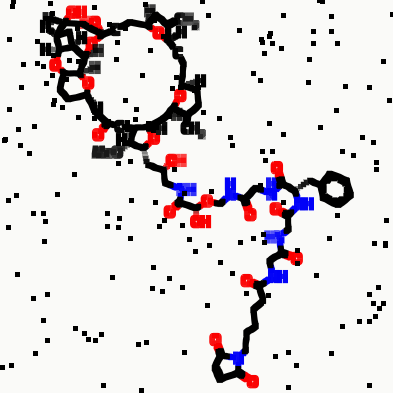 C=C1C[C@@H]2CC[C@@]3(O)C[C@@H](O)[C@@H]4C[C@@H]5[C@H]4OC4CC[C@H](CC(=O)C[C@@H]6[C@@H](OC)[C@@H](C[C@H](O)CNC(=O)[C@@H](O)OCNC(=O)CNC(=O)[C@H](Cc7ccccc7)NC(=O)CNC(=O)CNC(=O)CCCCCN7C(=O)C=CC7=O)O[C@H]6C[C@H]6O[C@H](CCC6=C)CC[C@@H]1O2)O[C@@H]4[C@@H]5O3